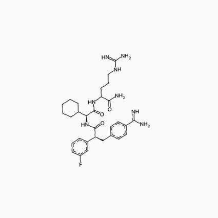 N=C(N)NCCCC(NC(=O)[C@@H](NC(=O)[C@@H](Cc1ccc(C(=N)N)cc1)c1cccc(F)c1)C1CCCCC1)C(N)=O